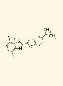 CC(C)c1ccc2oc(-c3nc4c(I)ccc(N)c4s3)cc2c1